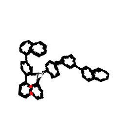 c1ccc(-c2ccc(-c3cccc4ccccc34)cc2N(c2ccccc2)c2ccc(-c3cccc(-c4ccc5ccccc5c4)c3)cc2)cc1